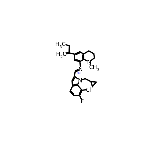 C=C(CC)c1cc2c(c(/N=C/c3cc4ccc(F)c(Cl)c4n3CC3CC3)c1)N(C)CCC2